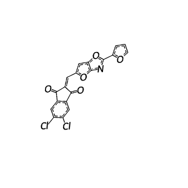 O=C1C(=Cc2cc3oc(-c4ccco4)nc3o2)C(=O)c2cc(Cl)c(Cl)cc21